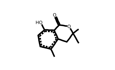 Cc1ccc(O)c2c1CC(C)(C)OC2=O